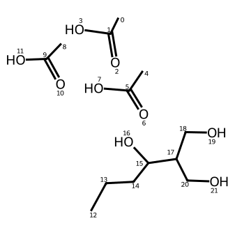 CC(=O)O.CC(=O)O.CC(=O)O.CCCC(O)C(CO)CO